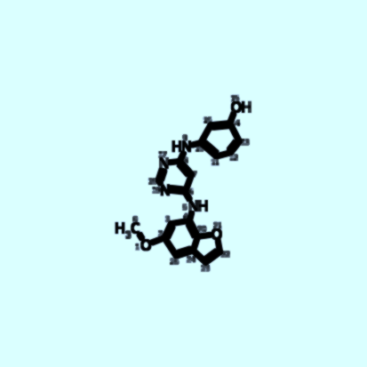 COc1cc(Nc2cc(Nc3cccc(O)c3)ncn2)c2occc2c1